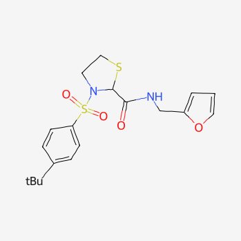 CC(C)(C)c1ccc(S(=O)(=O)N2CCSC2C(=O)NCc2ccco2)cc1